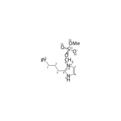 CC(C)CCCc1[nH]cc[n+]1C.COS(=O)(=O)[O-]